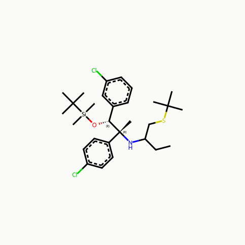 CCC(CSC(C)(C)C)N[C@](C)(c1ccc(Cl)cc1)[C@H](O[Si](C)(C)C(C)(C)C)c1cccc(Cl)c1